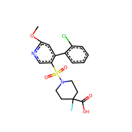 COc1cc(-c2ccccc2Cl)c(S(=O)(=O)N2CCC(F)(C(=O)O)CC2)cn1